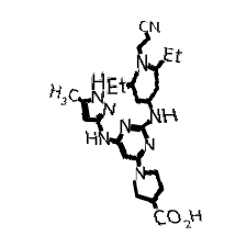 CCC1CC(Nc2nc(Nc3cc(C)[nH]n3)cc(N3CCC(C(=O)O)CC3)n2)CC(CC)N1CCC#N